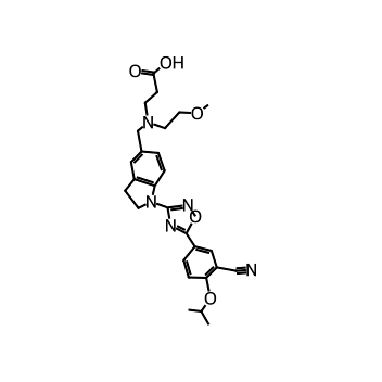 COCCN(CCC(=O)O)Cc1ccc2c(c1)CCN2c1noc(-c2ccc(OC(C)C)c(C#N)c2)n1